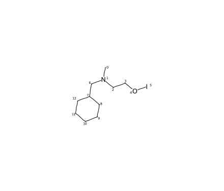 CN(CCOI)CC1CCCCC1